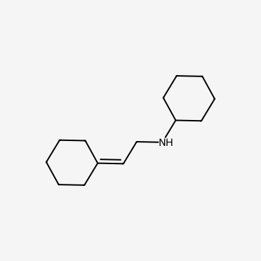 C(CNC1CCCCC1)=C1CCCCC1